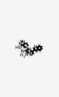 Nc1c(Br)c(N2CCc3ncnc(O)c3C2)nc2c(-c3cnc4ccccc4c3)cnn12